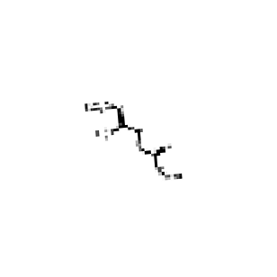 CCOC(=O)C=C(N)COC(=O)NC(C)(C)C